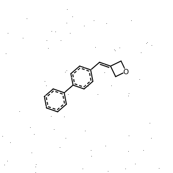 C(=C1COC1)c1ccc(-c2ccccc2)cc1